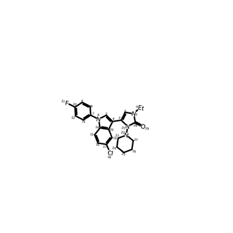 CCn1cc(-c2cn(-c3ccc(F)cc3)c3ccc(Cl)cc23)n(N2CCCCC2)c1=O